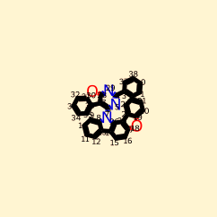 c1ccc(-c2nc(-n3c4ccccc4c4ccc5oc6ccccc6c5c43)c3c(n2)oc2ccccc23)cc1